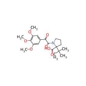 COc1cc(C(=O)C(=O)N2CCCC2(C(=O)O)C(C)(C)C)cc(OC)c1OC